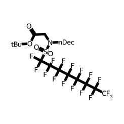 CCCCCCCCCCN(CC(=O)OC(C)(C)C)S(=O)(=O)C(F)(F)C(F)(F)C(F)(F)C(F)(F)C(F)(F)C(F)(F)C(F)(F)C(F)(F)F